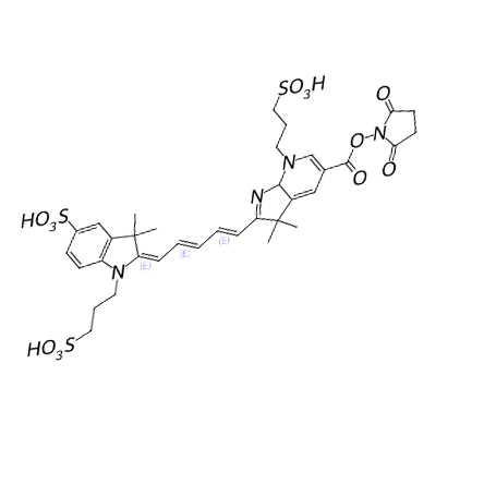 CC1(C)C2=CC(C(=O)ON3C(=O)CCC3=O)=CN(CCCS(=O)(=O)O)C2N=C1/C=C/C=C/C=C1/N(CCCS(=O)(=O)O)c2ccc(S(=O)(=O)O)cc2C1(C)C